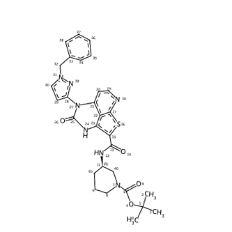 CC(C)(C)OC(=O)N1CCC[C@@H](NC(=O)c2sc3nccc4c3c2NC(=O)N4c2ccn(Cc3ccccc3)n2)C1